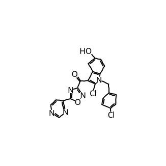 O=C(c1noc(-c2ccncn2)n1)c1c(Cl)n(Cc2ccc(Cl)cc2)c2ccc(O)cc12